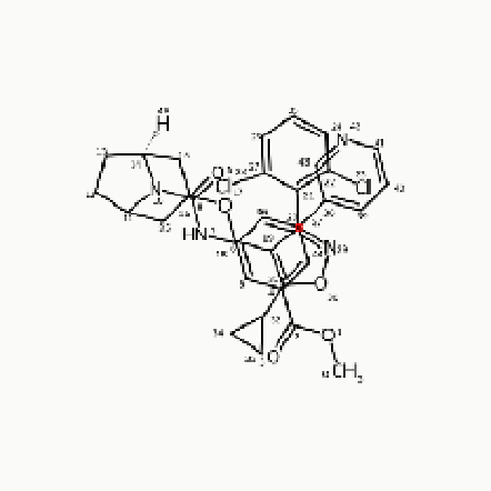 COC(=O)c1cc(NC(=O)N2C3CC[C@H]2CC(OCc2c(-c4c(Cl)cccc4Cl)noc2C2CC2)C3)cc(-c2cccnc2)c1